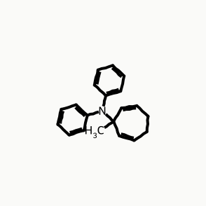 CC1(N(c2ccccc2)c2ccccc2)C=CCCC=C1